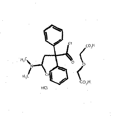 CCC(=O)C(CC(C)N(C)C)(c1ccccc1)c1ccccc1.Cl.O=C(O)COCC(=O)O